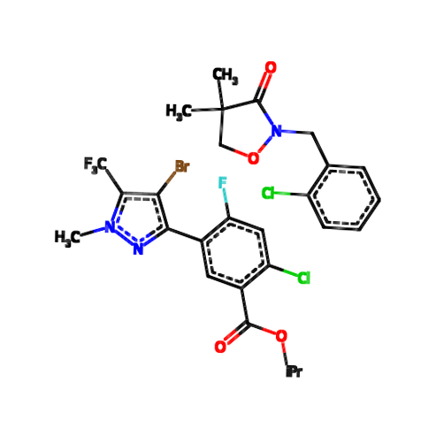 CC(C)OC(=O)c1cc(-c2nn(C)c(C(F)(F)F)c2Br)c(F)cc1Cl.CC1(C)CON(Cc2ccccc2Cl)C1=O